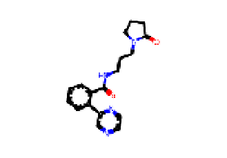 O=C(NCCCN1CCCC1=O)c1ccccc1-c1cnccn1